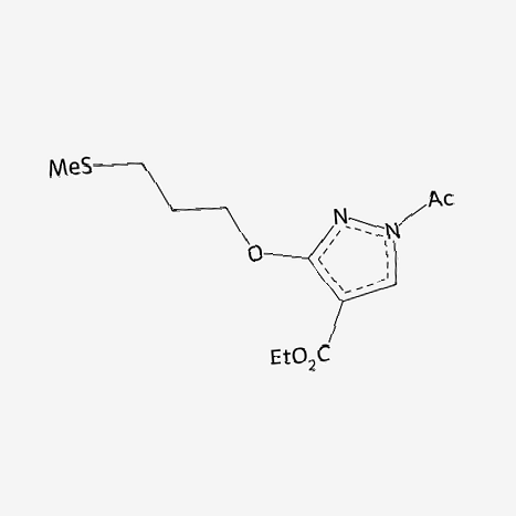 CCOC(=O)c1cn(C(C)=O)nc1OCCCSC